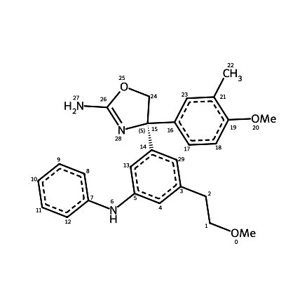 COCCc1cc(Nc2ccccc2)cc([C@@]2(c3ccc(OC)c(C)c3)COC(N)=N2)c1